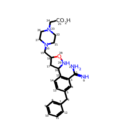 N=C(N)c1cc(Cc2ccccc2)ccc1C1CC(CN2CCN(CC(=O)O)CC2)ON1